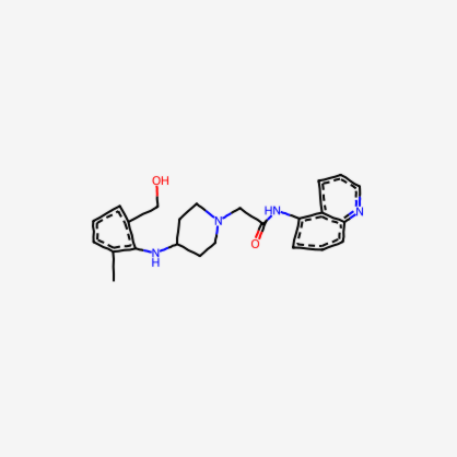 Cc1cccc(CO)c1NC1CCN(CC(=O)Nc2cccc3ncccc23)CC1